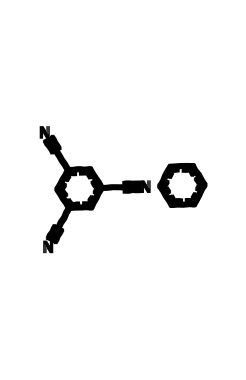 N#Cc1cc(C#N)cc(C#N)c1.c1ccccc1